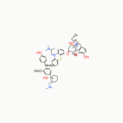 CC(=O)Nc1ccc(O)cc1.CC(CN1c2ccccc2Sc2ccccc21)N(C)C.COc1cccc([C@@]2(O)CCCC[C@@H]2CN(C)C)c1.O=C1CC[C@@]2(O)[C@H]3Cc4ccc(O)c5c4[C@@]2(CCN3CC2CC2)[C@H]1O5